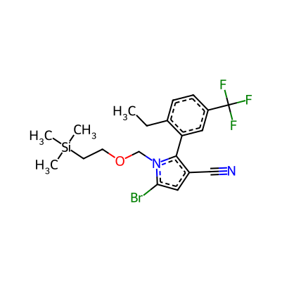 CCc1ccc(C(F)(F)F)cc1-c1c(C#N)cc(Br)n1COCC[Si](C)(C)C